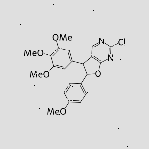 COc1ccc(C2Oc3nc(Cl)ncc3C2c2cc(OC)c(OC)c(OC)c2)cc1